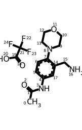 CC(=O)Nc1ccc(N2CCOCC2)c(CN)c1.O=C(O)C(F)(F)F